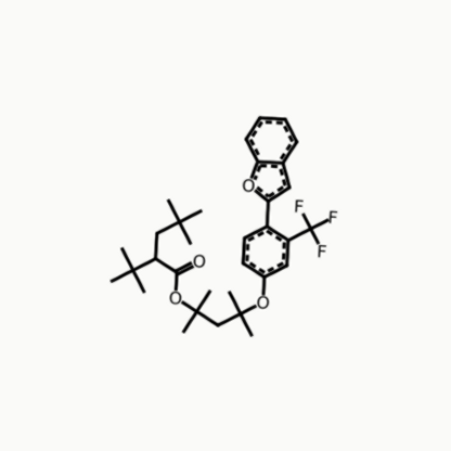 CC(C)(C)CC(C(=O)OC(C)(C)CC(C)(C)Oc1ccc(-c2cc3ccccc3o2)c(C(F)(F)F)c1)C(C)(C)C